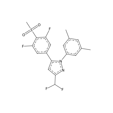 Cc1cc(C)cc(-n2nc(C(F)F)cc2-c2cc(F)c(S(C)(=O)=O)c(F)c2)c1